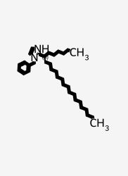 CCCCCCCCCCCCCCCCC[C@H](CCCCCC)c1[nH]cc[n+]1Cc1ccccc1